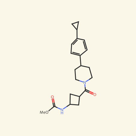 COC(=O)NC1CC(C(=O)N2CCC(c3ccc(C4CC4)cc3)CC2)C1